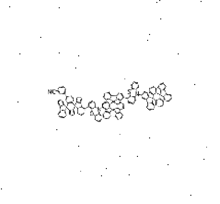 N#Cc1cccc(-c2ccc3c(c2)C2(c4ccccc4-c4ccccc42)c2ccccc2C32c3ccccc3-c3c(-c4cccc5c4Oc4ccccc4N5c4ccc5c(c4)C4(c6ccccc6-c6ccccc64)c4ccccc4C54c5ccccc5-c5ccc(-c6cccc7c6Sc6ccccc6N7c6ccc7c(c6)-c6ccccc6C76c7ccccc7C7(c8ccccc8-c8ccccc87)c7ccccc76)cc54)cccc32)c1